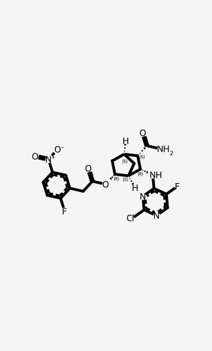 NC(=O)[C@H]1[C@H]2C[C@@H]([C@H]1Nc1nc(Cl)ncc1F)[C@H](OC(=O)Cc1cc([N+](=O)[O-])ccc1F)C2